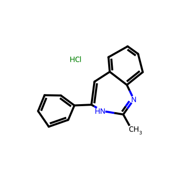 CC1=Nc2ccccc2C=C(c2ccccc2)N1.Cl